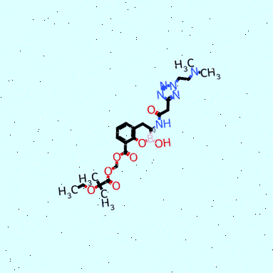 CCOC(C)(C)C(=O)OCOC(=O)c1cccc2c1OB(O)[C@@H](NC(=O)Cc1nnn(CCN(C)C)n1)C2